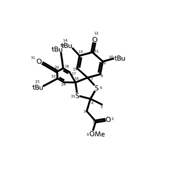 COC(=O)CC1(C)SC2(C=C(C(C)(C)C)C(=O)C(C(C)(C)C)=C2)C2(C=C(C(C)(C)C)C(=O)C(C(C)(C)C)=C2)S1